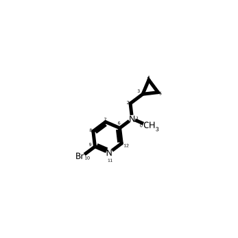 CN(CC1CC1)c1ccc(Br)nc1